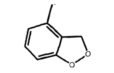 [CH2]c1cccc2c1COO2